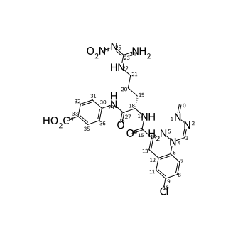 C=N/N=C\N(N)c1ccc(Cl)cc1/C=C/C(=O)N[C@@H](CCCN/C(N)=N\[N+](=O)[O-])C(=O)Nc1ccc(C(=O)O)cc1